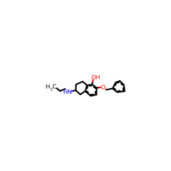 CCCNC1CCc2c(ccc(OCc3ccccc3)c2O)C1